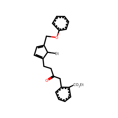 CCOC(=O)c1ccccc1CC(=O)CCC1=CC=C(COc2ccccc2)C1CC